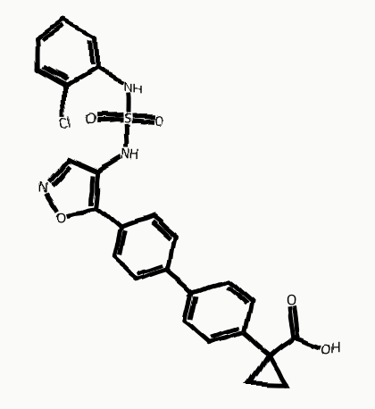 O=C(O)C1(c2ccc(-c3ccc(-c4oncc4NS(=O)(=O)Nc4ccccc4Cl)cc3)cc2)CC1